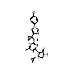 Cc1nc(NC2(c3cn(-c4ccc(Cl)cc4)cn3)CC2)nc(N2C(=O)NC[C@@H]2C2CC2)n1